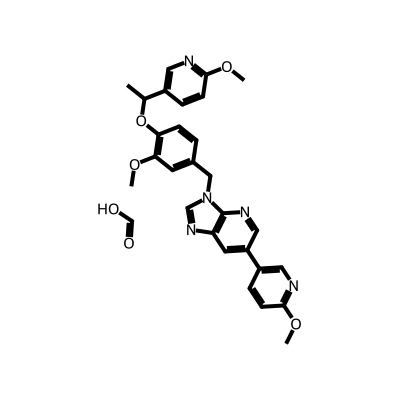 COc1ccc(-c2cnc3c(c2)ncn3Cc2ccc(OC(C)c3ccc(OC)nc3)c(OC)c2)cn1.O=CO